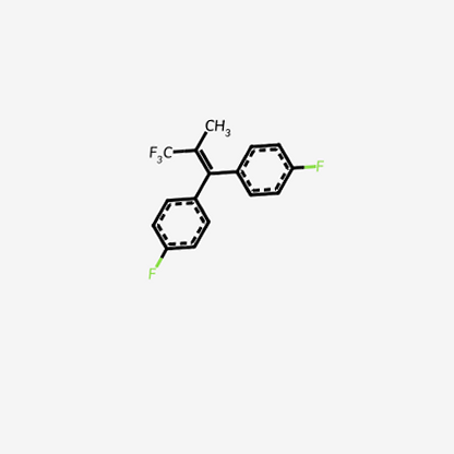 CC(=C(c1ccc(F)cc1)c1ccc(F)cc1)C(F)(F)F